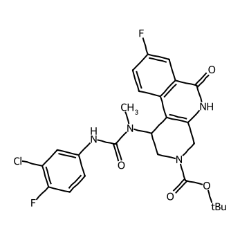 CN(C(=O)Nc1ccc(F)c(Cl)c1)C1CN(C(=O)OC(C)(C)C)Cc2[nH]c(=O)c3cc(F)ccc3c21